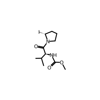 COC(=O)N[C@H](C(=O)N1CCC[C@H]1I)C(C)C